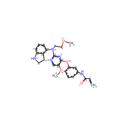 C=CC(=O)Nc1cccc(Oc2nc(N(CCOC)c3cccc4c3CCN4)ncc2OC)c1